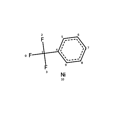 FC(F)(F)c1cc[c]cc1.[Ni]